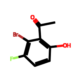 CC(=O)c1c(O)ccc(F)c1Br